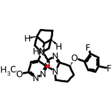 COc1cc(N2C[C@H]3CC[C@@H](C2)C3Nc2nc3n(n2)CCC[C@H]3Oc2ccc(F)cc2F)cnn1